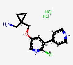 Cl.Cl.NCC1(COc2cnc(Cl)c(-c3ccncc3)c2)CC1